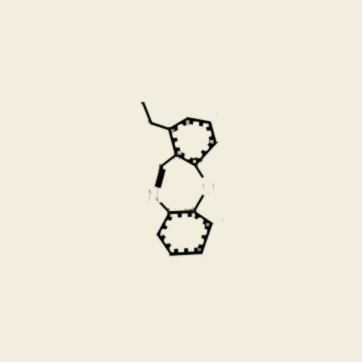 CCc1cccc2c1C=Nc1ccccc1O2